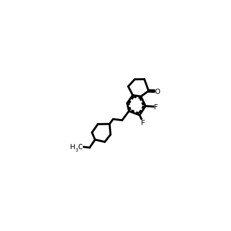 CCC1CCC(CCc2cc3c(c(F)c2F)C(=O)CCC3)CC1